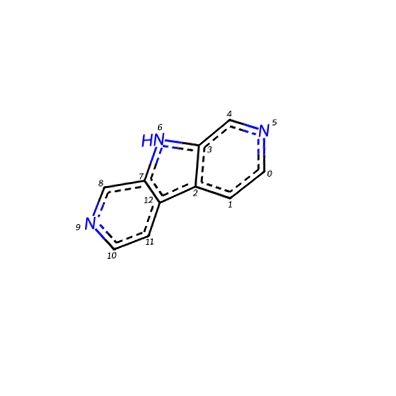 c1cc2c(cn1)[nH]c1cnccc12